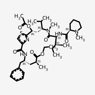 CCOC(=O)[C@@H](C)C[C@H](Cc1ccccc1)NC(=O)c1csc([C@@H](C[C@H](C(C)C)N(C)C(=O)[C@@H](NC(=O)[C@H]2CCCCN2C)[C@@H](C)CC)OC(C)=O)n1